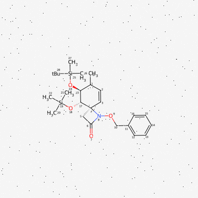 CC1C=C[C@]2(CC(=O)N2OCc2ccccc2)[C@H](O[Si](C)(C)C)[C@H]1O[Si](C)(C)C(C)(C)C